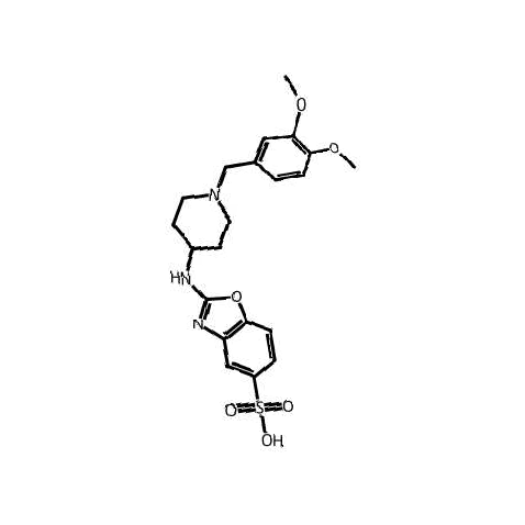 COc1ccc(CN2CCC(Nc3nc4cc(S(=O)(=O)O)ccc4o3)CC2)cc1OC